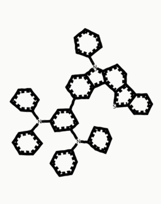 c1ccc(N(c2ccccc2)c2cc(-c3ccc4c(c3)c3c5sc6ccccc6c5ccc3n4-c3ccccc3)cc(N(c3ccccc3)c3ccccc3)c2)cc1